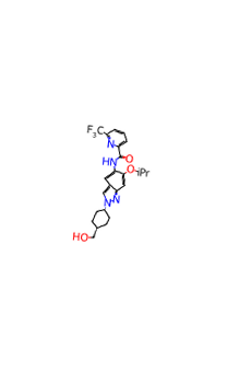 CC(C)Oc1cc2nn([C@H]3CC[C@H](CO)CC3)cc2cc1NC(=O)c1cccc(C(F)(F)F)n1